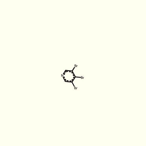 Brc1[c]ncc(Br)c1Br